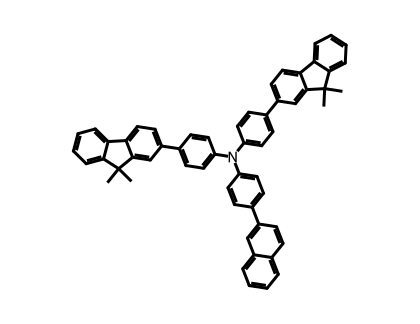 CC1(C)c2ccccc2-c2ccc(-c3ccc(N(c4ccc(-c5ccc6c(c5)C(C)(C)c5ccccc5-6)cc4)c4ccc(-c5ccc6ccccc6c5)cc4)cc3)cc21